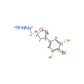 [N-]=[N+]=NC[C@H]1CC(c2cc(F)c(Br)c(F)c2)=NO1